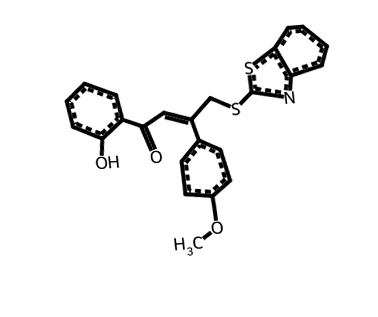 COc1ccc(/C(=C\C(=O)c2ccccc2O)CSc2nc3ccccc3s2)cc1